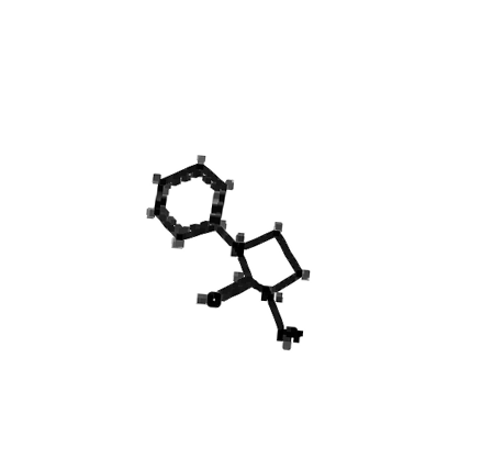 CCCN1CCN(c2ccccc2)C1=O